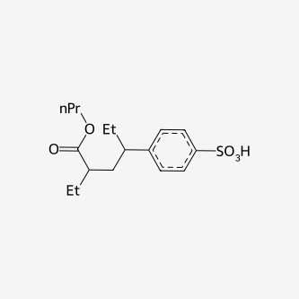 CCCOC(=O)C(CC)CC(CC)c1ccc(S(=O)(=O)O)cc1